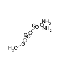 C=CCCCOC1CCC(C(=O)Oc2ccc(/C=C/C(=O)OCc3cc(N)cc(N)c3)cc2)CC1